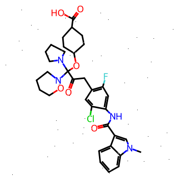 Cn1cc(C(=O)Nc2cc(F)c(CC(=O)C(OC3CCC(C(=O)O)CC3)(N3CCCC3)N3CCCCO3)cc2Cl)c2ccccc21